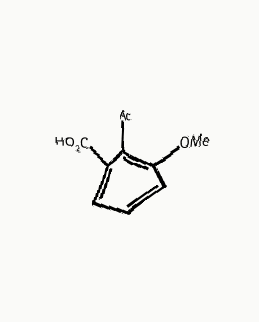 COc1cccc(C(=O)O)c1C(C)=O